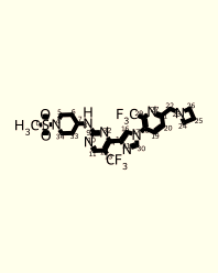 CS(=O)(=O)N1CCC(Nc2ncc(C(F)(F)F)c(-c3cn(-c4ccc(CN5CCC5)nc4C(F)(F)F)cn3)n2)CC1